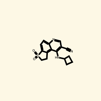 N#Cc1cnc2ccc3c(c2c1NC1CCC1)CCS3(=O)=O